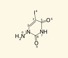 Nn1cc(I)c(=O)[nH]c1=O